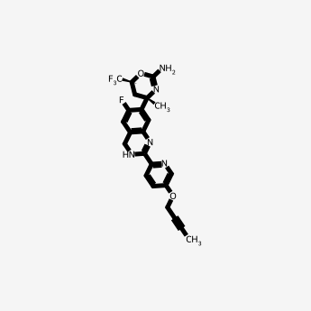 CC#CCOc1ccc(C2=Nc3cc([C@]4(C)C[C@@H](C(F)(F)F)OC(N)=N4)c(F)cc3CN2)nc1